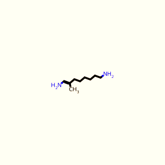 C/C(=C\N)CCCCCCN